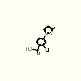 Cc1ccn(-c2ccc(C(N)=O)c(Cl)c2)n1